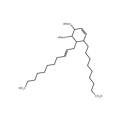 CCCCCC1C=CC(CCCCCCCCC(=O)O)C(CC=CCCCCCCCC(=O)O)C1CCCCC